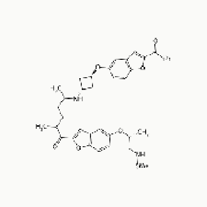 CSNC[C@@H](C)Oc1ccc2oc(C(=O)C(C)CCC(C)N[C@H]3C[C@H](Oc4ccc5oc(C(=O)C(C)C)cc5c4)C3)cc2c1